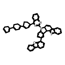 C1=CCCC(C2=CC=C(C3=CC=C(c4nc(N5c6ccc(-c7cccc8c7oc7ccccc78)cc6C6c7sc8ccccc8c7C=CC65)nc5ccccc45)CC3)CC2)=C1